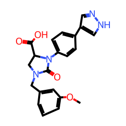 COc1cccc(CN2CC(C(=O)O)N(c3ccc(-c4cn[nH]c4)cc3)C2=O)c1